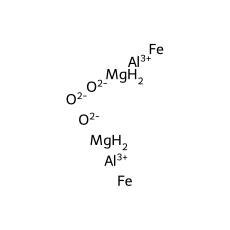 [Al+3].[Al+3].[Fe].[Fe].[MgH2].[MgH2].[O-2].[O-2].[O-2]